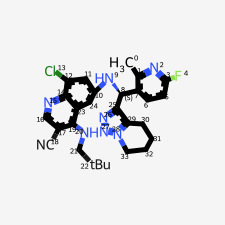 Cc1nc(F)ccc1[C@H](Nc1cc(Cl)c2ncc(C#N)c(NCC(C)(C)C)c2c1)c1nnn2c1CCCC2